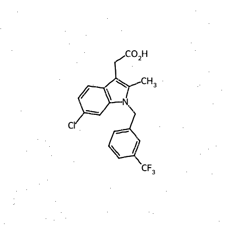 Cc1c(CC(=O)O)c2ccc(Cl)cc2n1Cc1cccc(C(F)(F)F)c1